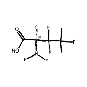 CC(C)(F)C(F)(F)[C@](F)(C(=O)O)N(F)F